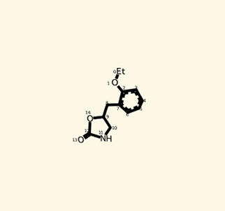 CCOc1ccccc1CC1CNC(=O)O1